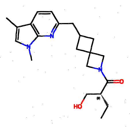 CC[C@H](CO)C(=O)N1CC2(CC(Cc3ccc4c(C)cn(C)c4n3)C2)C1